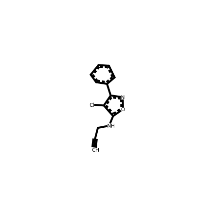 C#CCNc1onc(-c2ccccc2)c1Cl